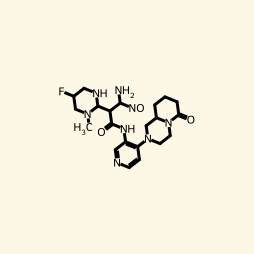 CN1CC(F)CNC1C(C(=O)Nc1cnccc1N1CCN2C(=O)CCCC2C1)C(N)N=O